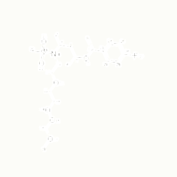 C=C(OC(C)CC(C)N(CCOCCOOCOC)S(C)(=O)=O)c1ccc(F)cc1